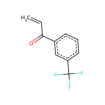 C=CC(=O)c1cccc(C(F)(F)F)c1